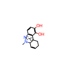 CN1C2C=CCCC23CCN1c1ccc(O)c(O)c13